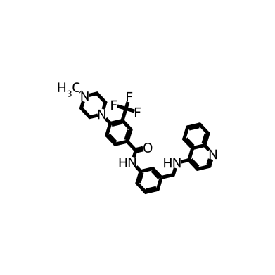 CN1CCN(c2ccc(C(=O)Nc3cccc(CNc4ccnc5ccccc45)c3)cc2C(F)(F)F)CC1